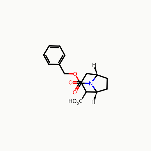 O=C(O)C1C(=O)C[C@@H]2CC[C@H]1N2C(=O)OCc1ccccc1